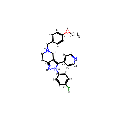 COc1ccc(CN2CCc3nn(-c4ccc(F)cc4)c(-c4ccncc4)c3C2)cc1